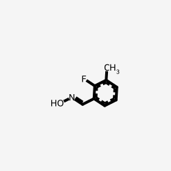 Cc1cccc(C=NO)c1F